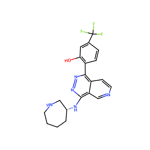 Oc1cc(C(F)(F)F)ccc1-c1nnc(N[C@@H]2CCCCNC2)c2cnccc12